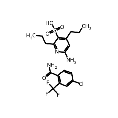 CCCc1cc(N)nc(CCC)c1S(=O)(=O)O.NC(=O)c1ccc(Cl)cc1C(F)(F)F